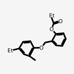 CCC(=O)Oc1ccccc1COc1ccc(CC)cc1C